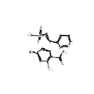 Cc1cc(Br)ccc1C(N)=O.O=S(=O)(O)/C=C/c1cccnc1